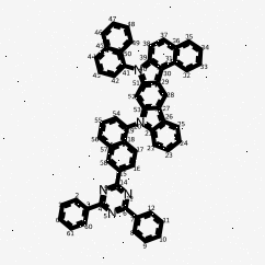 c1ccc(-c2nc(-c3ccccc3)nc(-c3ccc4c(-n5c6ccccc6c6cc7c8c9ccccc9ccc8n(-c8cccc9ccccc89)c7cc65)cccc4c3)n2)cc1